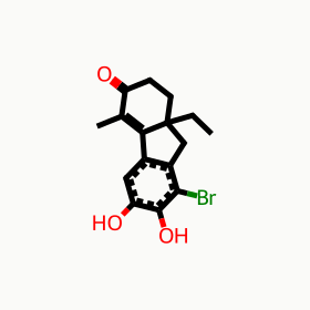 CCC12CCC(=O)C(C)=C1c1cc(O)c(O)c(Br)c1C2